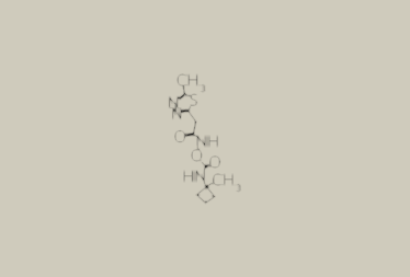 Cc1nnc(CC(=O)NOC(=O)NC2(C)CCC2)s1